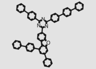 c1ccc(-c2ccc(-c3ccc(-c4nc(-c5ccc(-c6ccccc6)cc5)nc(-c5ccc6c(c5)oc5cc(-c7ccccc7)cc(-c7ccc(-c8ccccc8)cc7)c56)n4)cc3)cc2)cc1